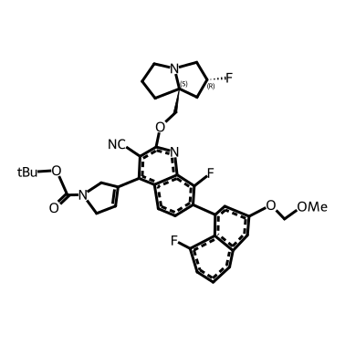 COCOc1cc(-c2ccc3c(C4=CCN(C(=O)OC(C)(C)C)C4)c(C#N)c(OC[C@@]45CCCN4C[C@H](F)C5)nc3c2F)c2c(F)cccc2c1